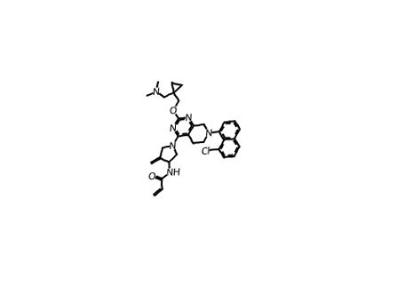 C=CC(=O)NC1CN(c2nc(OCC3(CN(C)C)CC3)nc3c2CCN(c2cccc4cccc(Cl)c24)C3)CC1=C